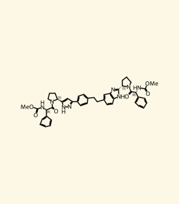 COC(=O)N[C@@H](C(=O)N1CCC[C@H]1c1cc(-c2ccc(CCc3ccc4[nH]c([C@@H]5CCCN5C(=O)[C@H](NC(=O)OC)c5ccccc5)nc4c3)cc2)n[nH]1)c1ccccc1